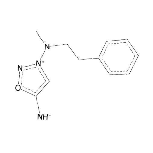 CN(CCc1ccccc1)[n+]1cc([NH-])on1